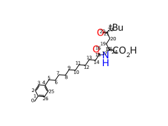 Cc1ccc(CCCCCCCCCCC(=O)N[C@@H](CCC(=O)C(C)(C)C)C(=O)O)cc1